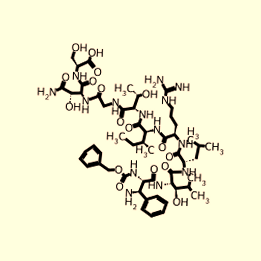 CC[C@H](C)[C@H](NC(=O)[C@@H](CCCNC(=N)N)NC(=O)[C@H](CC(C)C)NC(=O)[C@@H](NC(=O)[C@@H](NC(=O)OCc1ccccc1)[C@H](N)c1ccccc1)[C@H](O)C(C)C)C(=O)N[C@H](C(=O)NCC(=O)N[C@H](C(=O)N[C@@H](CO)C(=O)O)[C@H](O)C(N)=O)[C@H](C)O